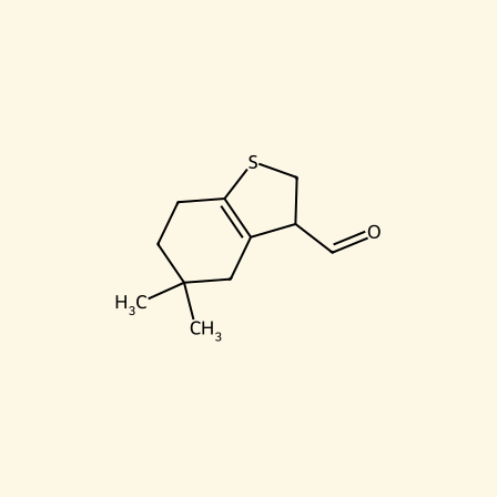 CC1(C)CCC2=C(C1)C(C=O)CS2